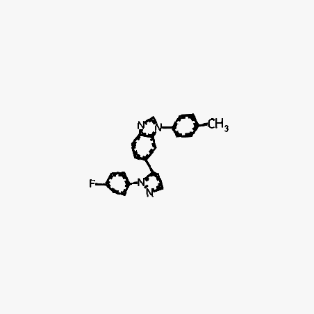 Cc1ccc(-n2cnc3ccc(-c4ccnn4-c4ccc(F)cc4)cc32)cc1